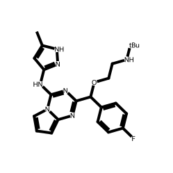 Cc1cc(Nc2nc(C(OCCNC(C)(C)C)c3ccc(F)cc3)nc3cccn23)n[nH]1